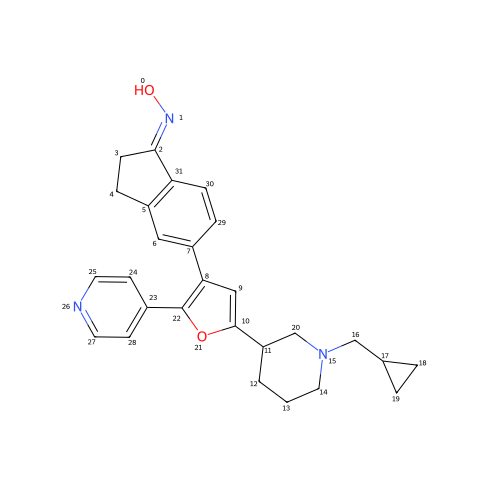 ON=C1CCc2cc(-c3cc(C4CCCN(CC5CC5)C4)oc3-c3ccncc3)ccc21